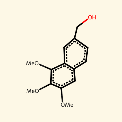 COc1cc2ccc(CO)cc2c(OC)c1OC